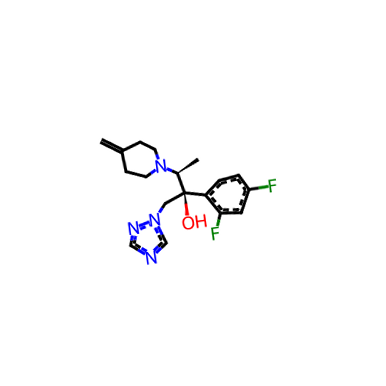 C=C1CCN([C@@H](C)[C@@](O)(Cn2cncn2)c2ccc(F)cc2F)CC1